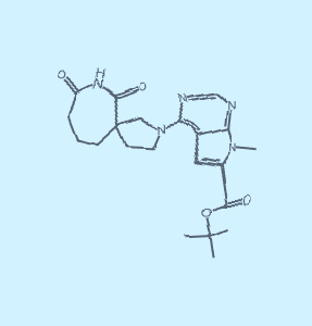 Cn1c(C(=O)OC(C)(C)C)cc2c(N3CCC4(CCCC(=O)NC4=O)C3)ncnc21